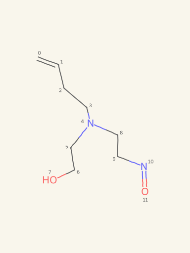 C=CCCN(CCO)CCN=O